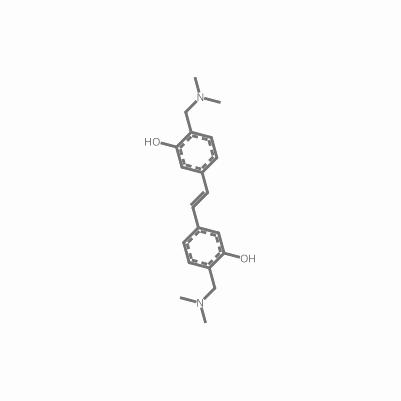 CN(C)Cc1ccc(C=Cc2ccc(CN(C)C)c(O)c2)cc1O